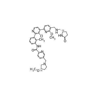 COc1nc(-c2ccnc(-c3cccc(NC(=O)c4ccc(CN5CC[C@H](OC)C5)cn4)c3C)c2Cl)ccc1CNC[C@@H]1CCC(=O)N1